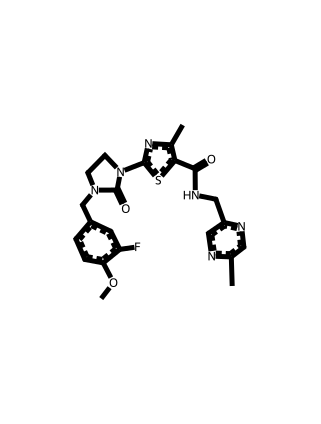 COc1ccc(CN2CCN(c3nc(C)c(C(=O)NCc4cnc(C)cn4)s3)C2=O)cc1F